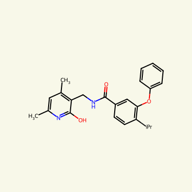 Cc1cc(C)c(CNC(=O)c2ccc(C(C)C)c(Oc3ccccc3)c2)c(O)n1